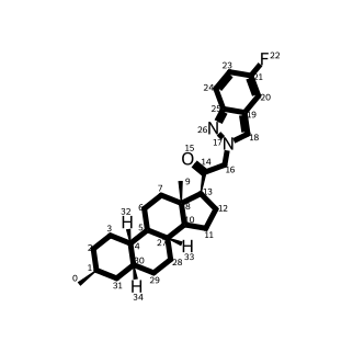 C[C@H]1CC[C@@H]2C3CC[C@@]4(C)C(CC[C@@H]4C(=O)Cn4cc5cc(F)ccc5n4)[C@@H]3CC[C@@H]2C1